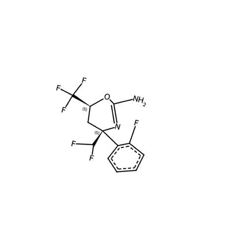 NC1=N[C@@](c2ccccc2F)(C(F)F)C[C@@H](C(F)(F)F)O1